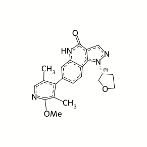 COc1ncc(C)c(-c2ccc3c(c2)[nH]c(=O)c2cnn([C@@H]4CCOC4)c23)c1C